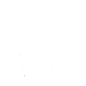 C=CC(=O)Nc1ccc2[nH]nc(C(=O)Nc3ccc(N4CCN(C)CC4)cc3)c2c1